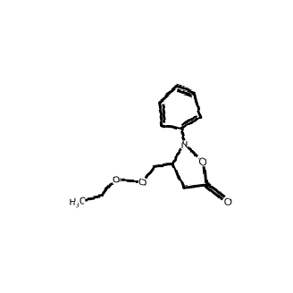 CCOOCC1CC(=O)ON1c1ccccc1